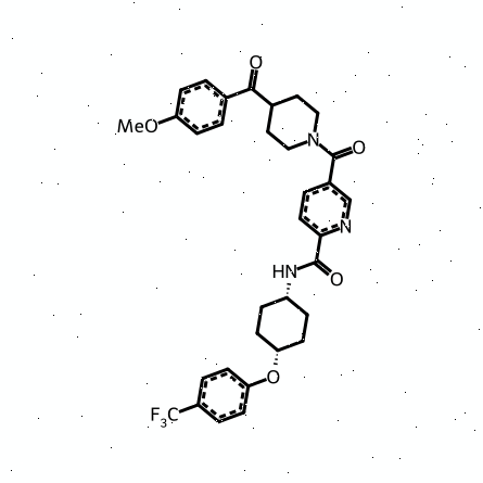 COc1ccc(C(=O)C2CCN(C(=O)c3ccc(C(=O)N[C@H]4CC[C@@H](Oc5ccc(C(F)(F)F)cc5)CC4)nc3)CC2)cc1